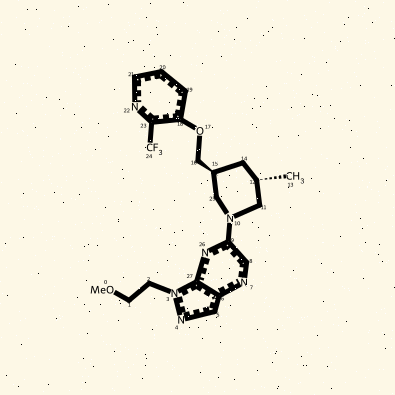 COCCn1ncc2ncc(N3C[C@@H](C)C[C@H](COc4cccnc4C(F)(F)F)C3)nc21